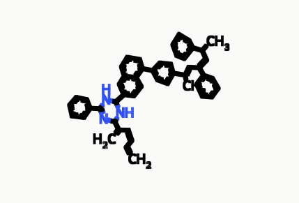 C=C/C=C\C(=C)C1N=C(c2ccccc2)NC(c2ccc3c(-c4ccc(/C(C)=C/C(=C\C(C)c5ccccc5)c5ccccc5)cc4)cccc3c2)N1